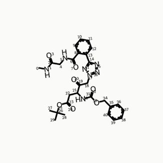 CNC(=O)CNC(=O)c1ccccc1-c1nnn(CC(=O)C(CC(=O)OC(C)(C)C)NC(=O)OCc2ccccc2)n1